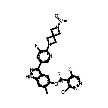 Cc1cc2[nH]nc(-c3cnc(N4CC5(C4)CN([S+](C)[O-])C5)c(F)c3)c2cc1O[C@H](C)c1c(Cl)cnnc1Cl